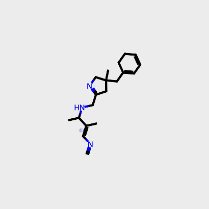 C=N/C=C(\C)C(C)NCC1=NCC(C)(CC2=CC=CCC2)C1